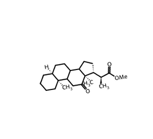 COC(=O)[C@@H](C)[C@H]1CCC2C3CC[C@@H]4CCCC[C@]4(C)C3CC(=O)[C@@]21C